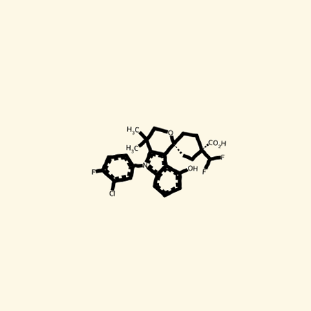 CC1(C)CO[C@]2(CC[C@](C(=O)O)(C(F)F)CC2)c2c1n(-c1ccc(F)c(Cl)c1)c1cccc(O)c12